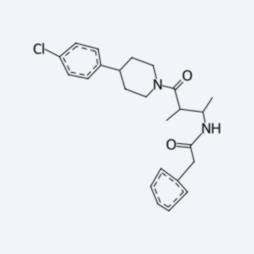 CC(NC(=O)Cc1ccccc1)C(C)C(=O)N1CCC(c2ccc(Cl)cc2)CC1